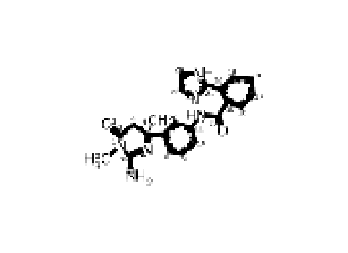 CN1C(=O)C[C@@](C)(c2cccc(NC(=O)c3ccccc3-c3ncc[nH]3)c2)N=C1N